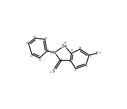 Fc1ccc2c(=S)n(-c3ccccc3)[se]c2c1